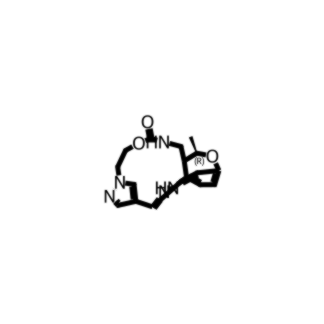 C[C@H]1Oc2ccc3n[nH]c(cc2)C1CNC(=O)OCCn1cc-3cn1